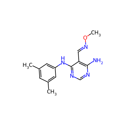 CON=Cc1c(N)ncnc1Nc1cc(C)cc(C)c1